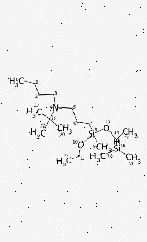 CCCCN(CCC[Si](C)(OCC)OC(C)[SiH](C)C)C(C)(C)C